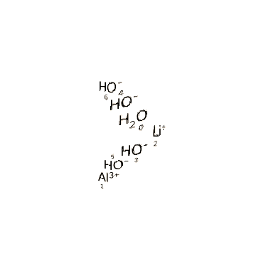 O.[Al+3].[Li+].[OH-].[OH-].[OH-].[OH-]